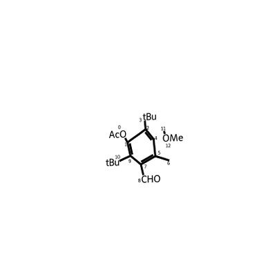 CC(=O)Oc1c(C(C)(C)C)cc(C)c(C=O)c1C(C)(C)C.COC